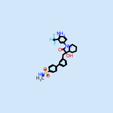 CNS(=O)(=O)c1ccc(-c2cccc(CC(O)(C(=O)Nc3ccc(N)c(C(F)(F)F)c3)C3CCCCC3)c2)cc1